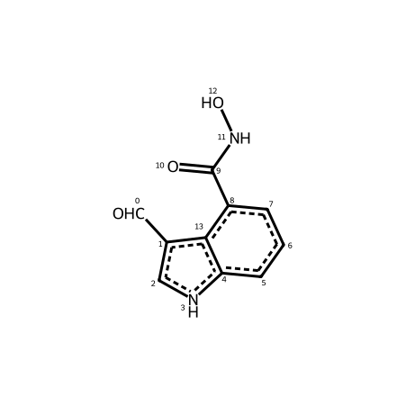 O=Cc1c[nH]c2cccc(C(=O)NO)c12